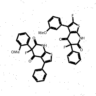 COc1cccc(-c2c(F)sc3c2C(=O)C(F)(c2ccccc2)C(=O)N3)c1.COc1ccccc1C1(F)C(=O)Nc2scc(-c3ccccc3)c2C1=O